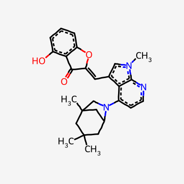 Cn1cc(C=C2Oc3cccc(O)c3C2=O)c2c(N3CC4(C)CC3CC(C)(C)C4)ccnc21